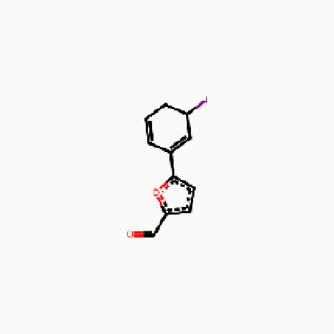 O=Cc1ccc(C2=CC(I)CC=C2)o1